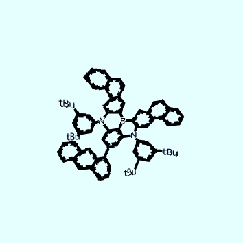 CC(C)(C)c1cc(N2c3cc4c(ccc5ccccc54)cc3B3c4cc5ccc6ccccc6c5cc4N(c4cc(C(C)(C)C)cc(C(C)(C)C)c4)c4cc(-c5cccc6cc7ccccc7cc56)cc2c43)cc(C(C)(C)C)c1